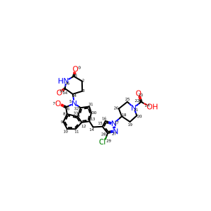 O=C1CCC(N2C(=O)c3cccc4c(Cc5cn(C6CCN(C(=O)O)CC6)nc5Cl)ccc2c34)C(=O)N1